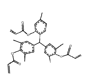 C=CC(=O)Oc1cc(C)ccc1C(c1cc(C)c(OC(=O)C=C)c(C)c1)c1cc(C)c(OC(=O)C=C)c(C)c1